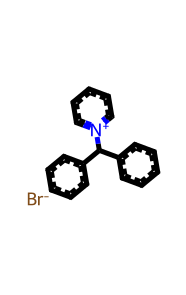 [Br-].c1ccc(C(c2ccccc2)[n+]2ccccc2)cc1